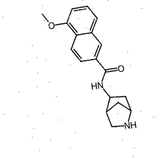 COc1cccc2cc(C(=O)NC3CC4CC3CN4)ccc12